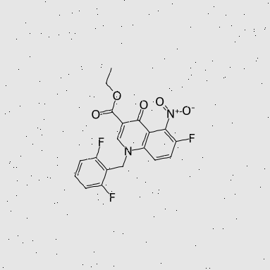 CCOC(=O)c1cn(Cc2c(F)cccc2F)c2ccc(F)c([N+](=O)[O-])c2c1=O